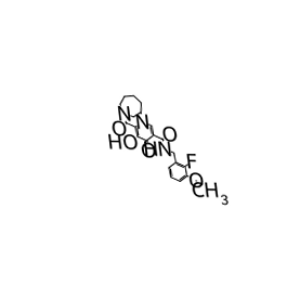 COc1cccc(CNC(=O)c2cn3c(c(O)c2=O)C(=O)N2CCCCC3C2)c1F